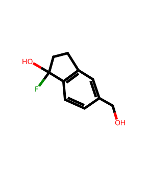 OCc1ccc2c(c1)CCC2(O)F